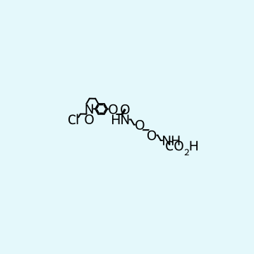 O=C(O)NCCOCCOCCNC(=O)COc1ccc2c(c1)CCCN2C(=O)CCl